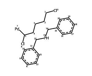 ClCCCC[CH](Cl)[Pd].c1ccc(CPCc2ccccc2)cc1